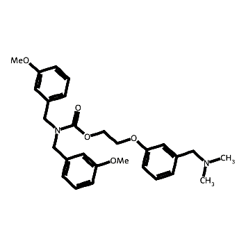 COc1cccc(CN(Cc2cccc(OC)c2)C(=O)OCCOc2cccc(CN(C)C)c2)c1